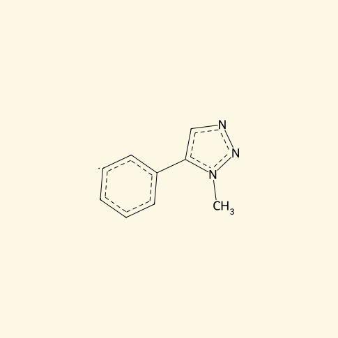 Cn1nncc1-c1c[c]ccc1